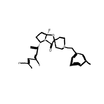 C=C(/C=C(F)\C=C(/C)F)[C@@H]1CC[C@H]2OC3(CCN(Cc4cccc(C)c4)CC3)C(=O)N21